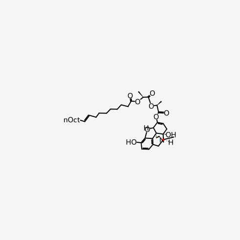 CCCCCCCC/C=C/CCCCCCCC(=O)O[C@@H](C)C(=O)O[C@@H](C)C(=O)OC1=CC[C@@]2(O)[C@H]3Cc4ccc(O)c5c4[C@@]2(CCN3C)[C@H]1O5